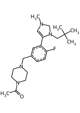 CC(=O)N1CCN(Cc2ccc(F)c(C3=CN(C)CN3CC(C)(C)C)c2)CC1